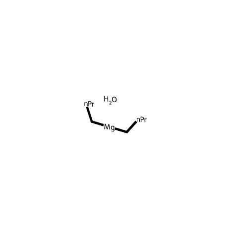 CCC[CH2][Mg][CH2]CCC.O